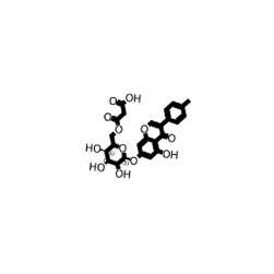 Cc1ccc(-c2coc3cc(O[C@@H]4OC(COC(=O)CC(=O)O)[C@@H](O)[C@H](O)C4O)cc(O)c3c2=O)cc1